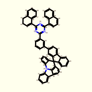 C1=C(c2nc(-c3cccc(-c4ccc5c(c4)C4(c6ccccc6-5)c5ccccc5-n5c6ccccc6c6cccc4c65)c3)nc(-c3cccc4ccccc34)n2)c2ccccc2CC1